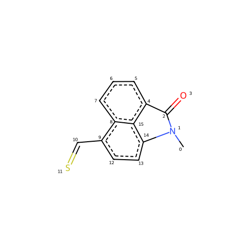 CN1C(=O)c2cccc3c(C=S)ccc1c23